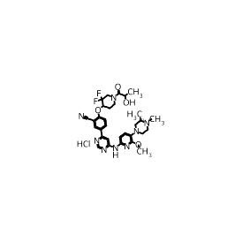 COc1nc(Nc2cc(-c3ccc(OC4CCN(C(=O)C(C)O)CC4(F)F)c(C#N)c3)ncn2)ccc1N1CCN(C)[C@H](C)C1.Cl